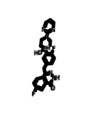 O=c1[nH]nc(Cc2ccc(F)c([PH]3(O)CCN(c4ncccn4)CC3)c2)c2ccc(F)cc12